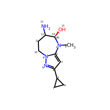 CN1c2cc(C3CC3)nn2CCC(N)[C@H]1O